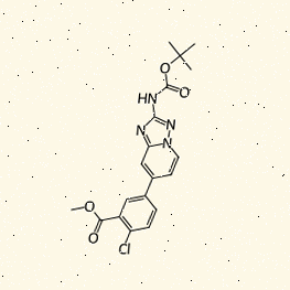 COC(=O)c1cc(-c2ccn3nc(NC(=O)OC(C)(C)C)nc3c2)ccc1Cl